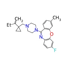 C=C(CC)C1(CN2CCN(C3=Nc4ccc(F)cc4Oc4cc(C)ccc43)CC2)CC1